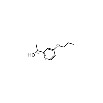 CCCOc1ccnc([C@H](C)O)c1